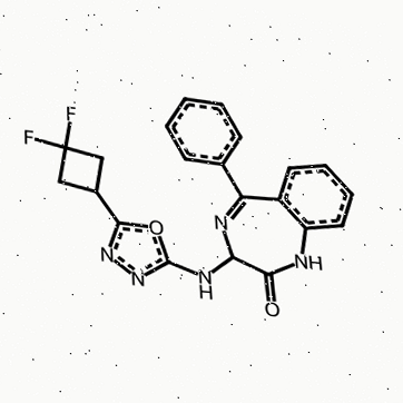 O=C1Nc2ccccc2C(c2ccccc2)=NC1Nc1nnc(C2CC(F)(F)C2)o1